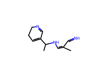 C/C(C=N)=C/NC(C)C1=CCCN=C1